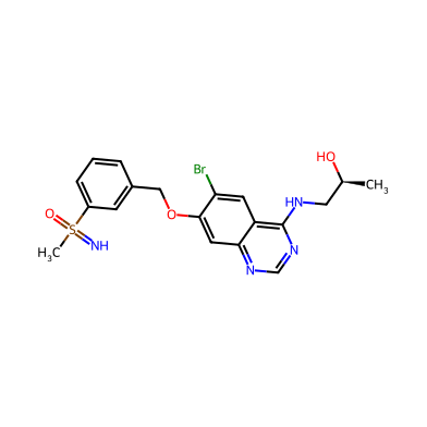 C[C@H](O)CNc1ncnc2cc(OCc3cccc(S(C)(=N)=O)c3)c(Br)cc12